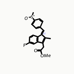 COC(=O)CC1=C(C)/C(=C/c2ccc([S+](C)[O-])cc2)c2ccc(F)cc21